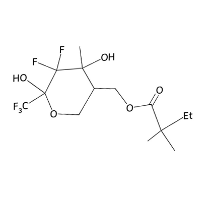 CCC(C)(C)C(=O)OCC1COC(O)(C(F)(F)F)C(F)(F)C1(C)O